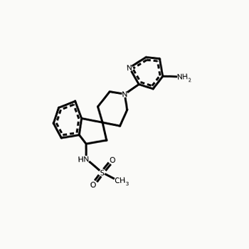 CS(=O)(=O)NC1CC2(CCN(c3cc(N)ccn3)CC2)c2ccccc21